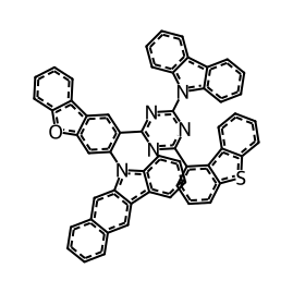 c1ccc2cc3c(cc2c1)c1ccccc1n3-c1cc2oc3ccccc3c2cc1-c1nc(-c2cccc3sc4ccccc4c23)nc(-n2c3ccccc3c3ccccc32)n1